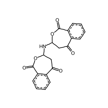 O=C1CC(NC2CC(=O)c3ccccc3C(=O)O2)OC(=O)c2ccccc21